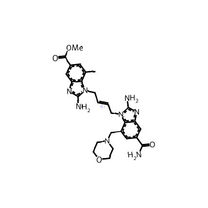 COC(=O)c1cc(C)c2c(c1)nc(N)n2C/C=C/Cn1c(N)nc2cc(C(N)=O)cc(CN3CCOCC3)c21